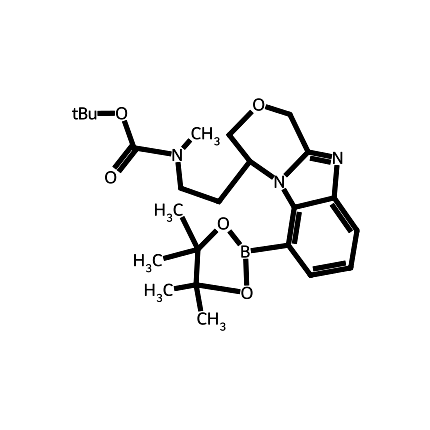 CN(CCC1COCc2nc3cccc(B4OC(C)(C)C(C)(C)O4)c3n21)C(=O)OC(C)(C)C